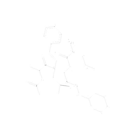 CC(=O)OC(C)C(=O)C(/C=C/c1ccccc1)(CC(C)C)[C@@H](C(=O)NOC1CCCCO1)[C@@H](CC(C)C)C(=O)NN